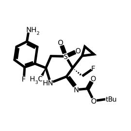 CC(C)(C)OC(=O)/N=C1/N[C@](C)(c2cc(N)ccc2F)CS(=O)(=O)[C@@]1(CF)C1CC1